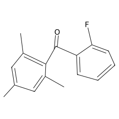 Cc1cc(C)c(C(=O)c2ccccc2F)c(C)c1